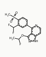 CC(F)Oc1n[nH]c2ccnc(-c3ccc(S(C)(=O)=O)c(C(F)F)c3)c12